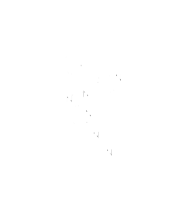 Fc1ccc(-c2nc3ccc(N4CCN5CCCC5C4)nc3n2-c2ccncc2)cc1